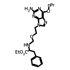 CCCOc1nc(N)nc2c1ncn2CCOCN[C@@H](Cc1ccccc1)C(=O)OCC